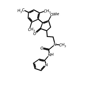 COC1=C(c2c(C)cc(C)cc2C)C(=O)C(CCN(C)C(=O)Nc2ccccn2)C1